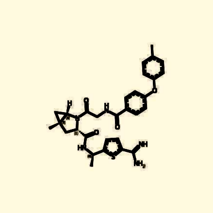 Cc1ccc(Oc2ccc(C(=O)NCC(=O)N3[C@H]4C[C@@]4(C)C[C@H]3C(=O)N[C@H](C)c3ccc(C(=N)N)s3)cc2)cc1